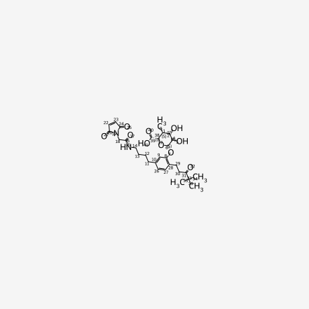 C[C@H]1[C@H](O)[C@@H](O)[C@H](Oc2cc(CCCCNC(=O)CN3C(=O)C=CC3=O)ccc2CCC(=O)C(C)(C)C)O[C@@H]1C(=O)O